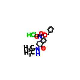 CC(C)NC1CCc2c(ccc(OCc3ccccc3)c2[N+](=O)[O-])C1=O.Cl